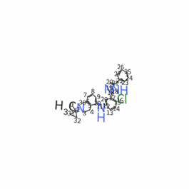 CC1(N2CCc3c(cccc3Nc3ccc(Cl)c(-c4ncc(-c5ccccc5)[nH]4)c3)C2)CC1